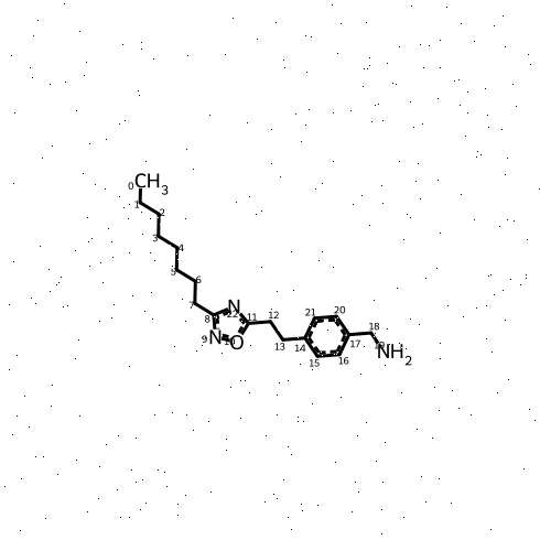 CCCCCCCCc1noc(CCc2ccc(CN)cc2)n1